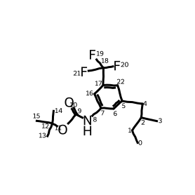 CCC(C)Cc1cc(NC(=O)OC(C)(C)C)cc(C(F)(F)F)c1